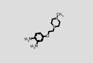 CN1CCN(CCOc2ccc(N)c(N)c2)CC1